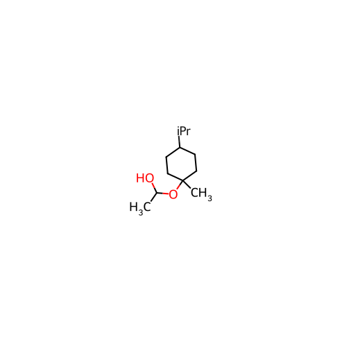 CC(O)OC1(C)CCC(C(C)C)CC1